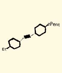 CCCCC[C@H]1CC[C@H](C#C[C@H]2CC[C@H](CC)CC2)CC1